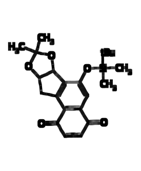 CC1(C)OC2Cc3c4c(cc(O[Si](C)(C)C(C)(C)C)c3C2O1)C(=O)C=CC4=O